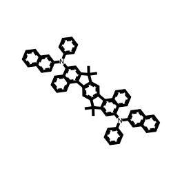 CC1(C)c2cc3c(cc2-c2c1cc(N(c1ccccc1)c1ccc4ccccc4c1)c1ccccc21)C(C)(C)c1cc(N(c2ccccc2)c2ccc4ccccc4c2)c2ccccc2c1-3